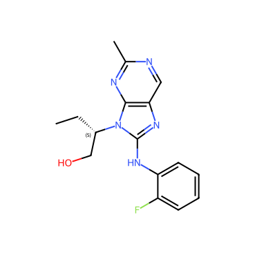 CC[C@@H](CO)n1c(Nc2ccccc2F)nc2cnc(C)nc21